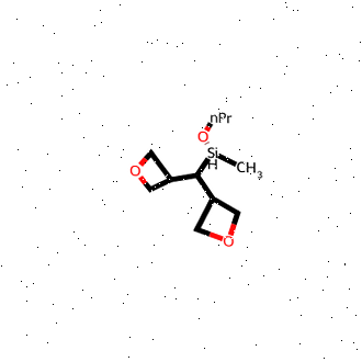 CCCO[SiH](C)C(C1COC1)C1COC1